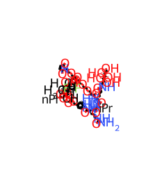 CCCC1O[C@]2(C(=O)COC(=O)OCc3ccc(NC(=O)[C@H](CCCNC(N)=O)NC(=O)[C@@H](NC(=O)[C@@H](CCCC(=O)NC[C@H](O)[C@@H](O)[C@H](O)[C@H](O)CO)NC(=O)CCOCCOCCOCCOCCN4C(=O)C=CC4=O)C(C)C)cc3)[C@@](C)(C[C@H]3[C@@H]4C[C@H](F)C5=CC(=O)C=C[C@]5(C)[C@@]4(F)[C@@H](O)C[C@@]32C)O1